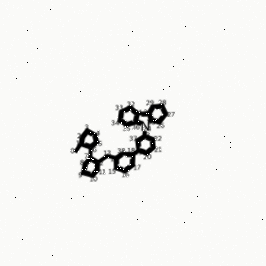 Cc1ccccc1-c1ccccc1Cc1cccc(-c2cccc(-n3c4ccccc4c4ccccc43)c2)c1